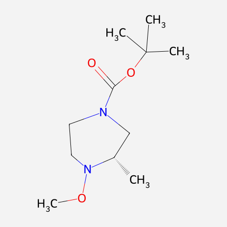 CON1CCN(C(=O)OC(C)(C)C)C[C@@H]1C